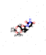 CC(C)[Si]1(C(C)C)OC[C@H]2O[C@@H](n3ccc(=O)[nH]c3=O)C3(CC3)[C@@H]2O[Si](C(C)C)(C(C)C)O1